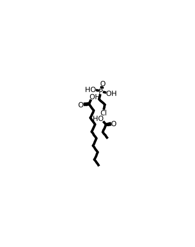 CCC(=O)O.CCCCCCCCCC(=O)O.O=P(O)(O)CCCl